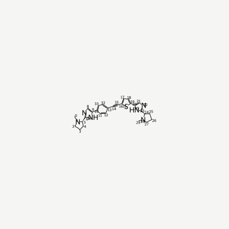 CN1CCC[C@@H]1c1ncc(-c2ccc(C#Cc3ccc(-c4cnc([C@H]5CCCN5C)[nH]4)s3)cc2)[nH]1